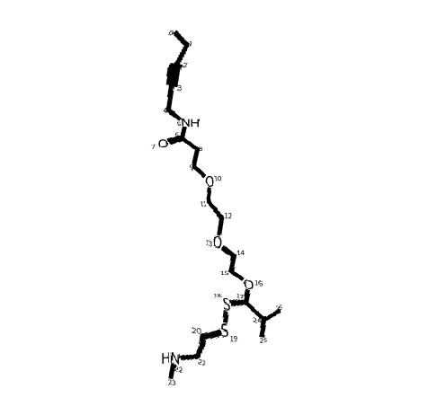 CCC#CCNC(=O)CCOCCOCCOC(SSCCNC)C(C)C